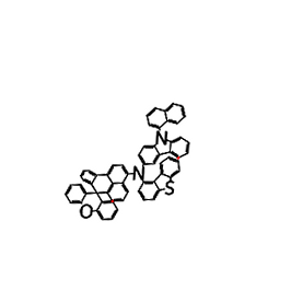 c1ccc2c(c1)Oc1ccccc1C21c2ccccc2-c2ccc(N(c3ccc4c(c3)c3ccccc3n4-c3cccc4ccccc34)c3cccc4sc5ccccc5c34)c3cccc1c23